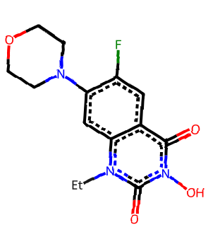 CCn1c(=O)n(O)c(=O)c2cc(F)c(N3CCOCC3)cc21